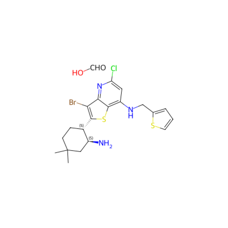 CC1(C)CC[C@H](c2sc3c(NCc4cccs4)cc(Cl)nc3c2Br)[C@@H](N)C1.O=CO